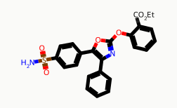 CCOC(=O)c1ccccc1Oc1nc(-c2ccccc2)c(-c2ccc(S(N)(=O)=O)cc2)o1